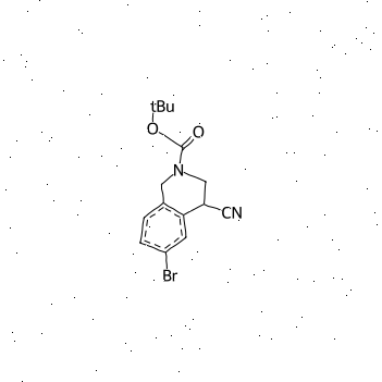 CC(C)(C)OC(=O)N1Cc2ccc(Br)cc2C(C#N)C1